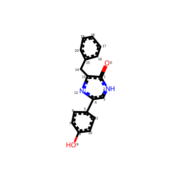 O=c1[nH]cc(-c2ccc(O)cc2)nc1Cc1ccccc1